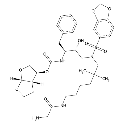 CC(C)(CCCCNC(=O)CN)CN(C[C@@H](O)[C@H](Cc1ccccc1)NC(=O)O[C@@H]1CO[C@H]2OCC[C@H]21)S(=O)(=O)c1ccc2c(c1)OCO2